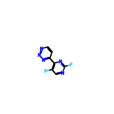 Fc1ncc(F)c(-c2ccnnn2)n1